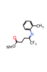 COC(=O)CCC(=Nc1ccccc1C)C(F)(F)F